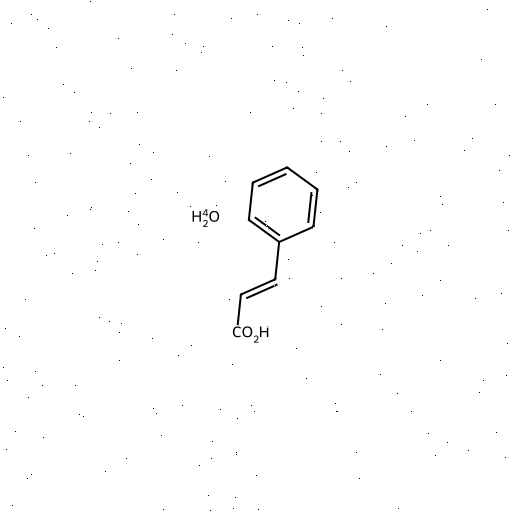 O=C(O)C=Cc1ccccc1.[4OH2]